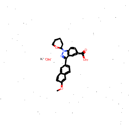 COc1ccc2cc(-c3nn(C4CCCCO4)c4ccc(C(=O)O)cc34)ccc2c1.[K+].[OH-]